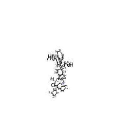 C[n+]1c(/C=C2\C=C(Cl)N(c3ccccc3)c3ccccc32)sc2cc(S(C=CO)(C=CO)N3CCCCC3)ccc21